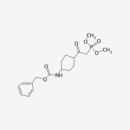 COP(=O)(CC(=O)C1CCC(NC(=O)OCc2ccccc2)CC1)OC